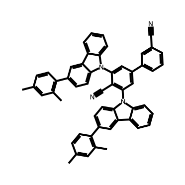 Cc1ccc(-c2ccc3c(c2)c2ccccc2n3-c2cc(-c3cccc(C#N)c3)cc(-n3c4ccccc4c4cc(-c5ccc(C)cc5C)ccc43)c2C#N)c(C)c1